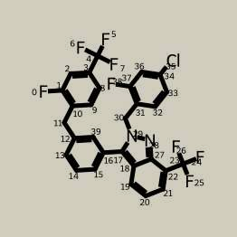 Fc1cc(C(F)(F)F)ccc1Cc1cccc(-c2c3cccc(C(F)(F)F)c3nn2Cc2ccc(Cl)cc2F)c1